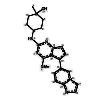 CNc1nc(NC2CCC(C)(O)CC2)nn2ccc(-c3ccc4nccn4c3)c12